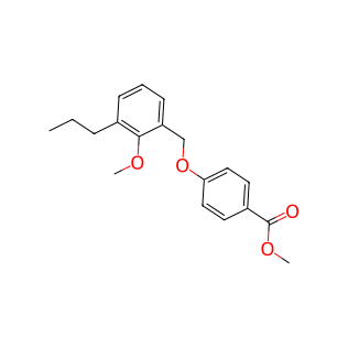 CCCc1cccc(COc2ccc(C(=O)OC)cc2)c1OC